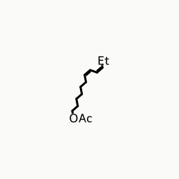 CC/C=C\C=C/CCCCCCOC(C)=O